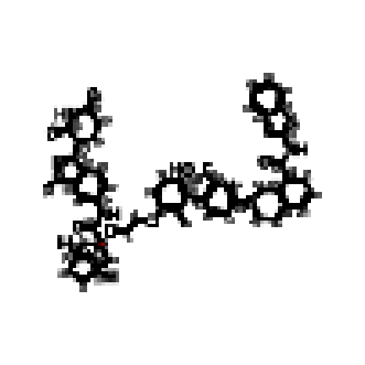 Cc1c(OCCO[C@H]2C[C@H]3CC[C@@H](C2)N3CC(=O)Nc2ccc3c(C4CCC(=O)NC4=O)nn(C)c3c2)cccc1-c1ccc(N2CCc3cccc(C(=O)Nc4nc5ccccc5s4)c3C2)nc1C(=O)O